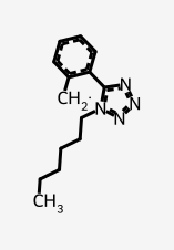 [CH2]c1ccccc1-c1nnnn1CCCCCC